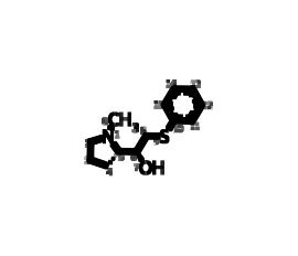 CN1CCC[C@H]1[C@H](O)CSc1ccccc1